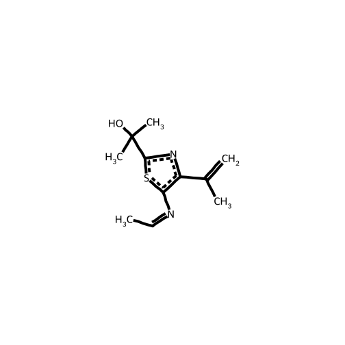 C=C(C)c1nc(C(C)(C)O)sc1/N=C\C